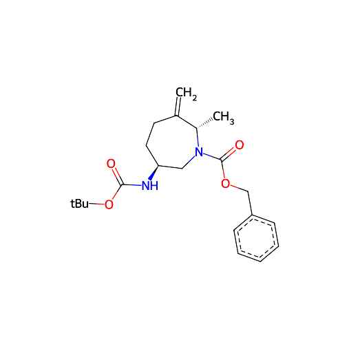 C=C1CC[C@H](NC(=O)OC(C)(C)C)CN(C(=O)OCc2ccccc2)[C@H]1C